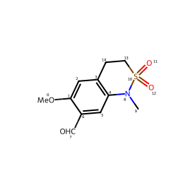 COc1cc2c(cc1C=O)N(C)S(=O)(=O)CC2